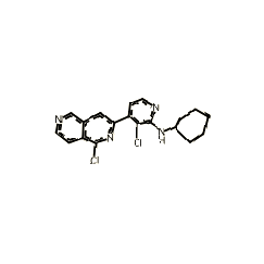 Clc1c(-c2cc3cnccc3c(Cl)n2)ccnc1NC1CCCCC1